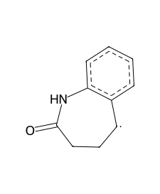 O=C1CC[CH]c2ccccc2N1